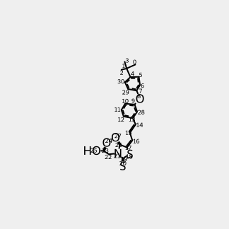 CC(C)(C)c1ccc(Oc2cccc(C=CC=C3SC(=S)N(CC(=O)O)C3=O)c2)cc1